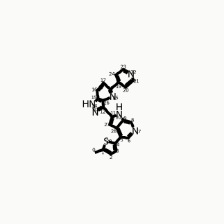 Cc1ccc(-c2cncc3[nH]c(-c4n[nH]c5ccc(-c6ccncc6)nc45)cc23)s1